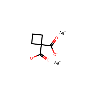 O=C([O-])C1(C(=O)[O-])CCC1.[Ag+].[Ag+]